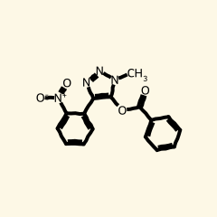 Cn1nnc(-c2ccccc2[N+](=O)[O-])c1OC(=O)c1ccccc1